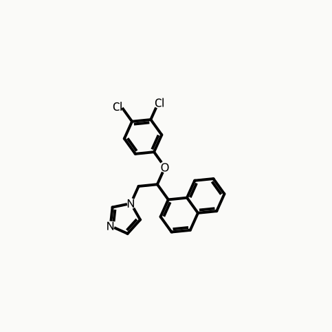 Clc1ccc(OC(Cn2ccnc2)c2cccc3ccccc23)cc1Cl